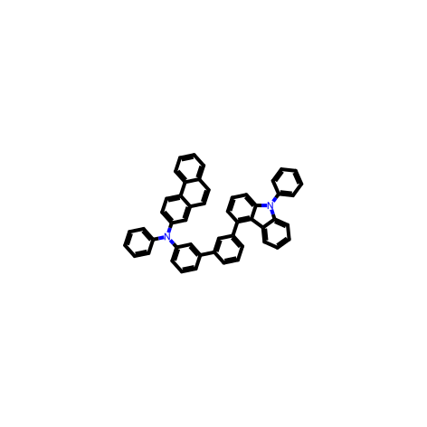 c1ccc(N(c2cccc(-c3cccc(-c4cccc5c4c4ccccc4n5-c4ccccc4)c3)c2)c2ccc3c(ccc4ccccc43)c2)cc1